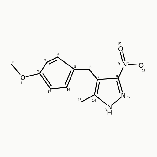 COc1ccc(Cc2c([N+](=O)[O-])n[nH]c2C)cc1